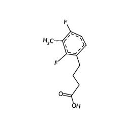 Cc1c(F)ccc(CCCC(=O)O)c1F